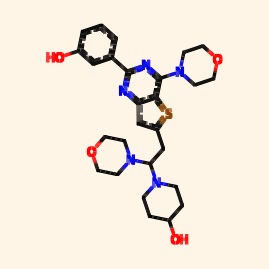 Oc1cccc(-c2nc(N3CCOCC3)c3sc(CC(N4CCOCC4)N4CCC(O)CC4)cc3n2)c1